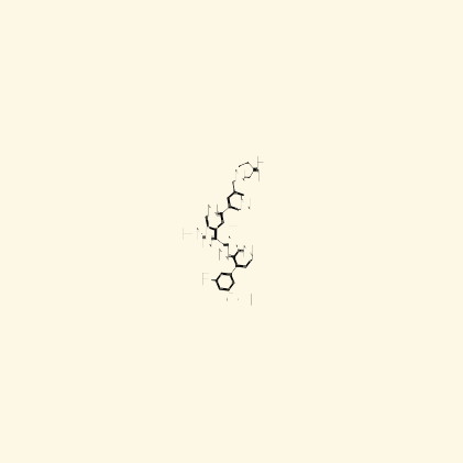 Oc1cc(F)cc(-c2ccnc3[nH]c(-c4n[nH]c5cnc(-c6cncc(CN7CCC(F)(F)C7)c6)cc45)nc23)c1